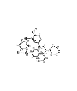 COc1ccc(NCCN2CCOCC2)cc1Nc1ncc(Br)c(Nc2ccc3nccnc3c2)n1